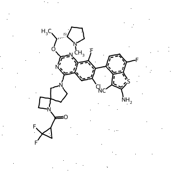 CC(Oc1nc(N2CCC3(CCN3C(=O)C3CC3(F)F)C2)c2cc(Cl)c(-c3ccc(F)c4sc(N)c(C#N)c34)c(F)c2n1)[C@@H]1CCCN1C